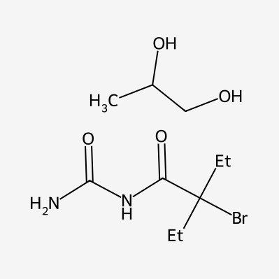 CC(O)CO.CCC(Br)(CC)C(=O)NC(N)=O